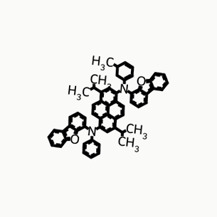 CC1C=CC=C(N(c2cc(C(C)C)c3ccc4c(N(c5ccccc5)c5cccc6c5oc5ccccc56)cc(C(C)C)c5ccc2c3c54)c2cccc3c2oc2ccccc23)C1